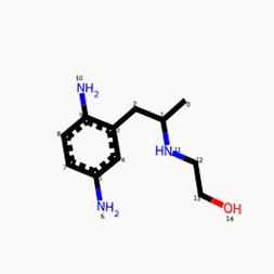 CC(Cc1cc(N)ccc1N)NCCO